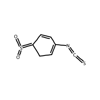 O=S(=O)=C1C=CC(N=C=S)=CC1